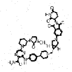 CN1CCN([C@@H]2CCCN(c3cnc(C(N)=O)c(Nc4ccc(C5CCN(C[C@@H]6[C@H]7CN(c8ccc9c(c8)C(=O)N(C8CCC(=O)NC8=O)C9=O)C[C@@H]67)CC5)cc4)n3)C2)C1=O